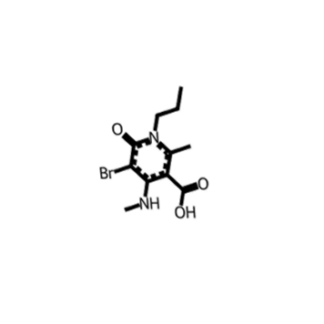 CCCn1c(C)c(C(=O)O)c(NC)c(Br)c1=O